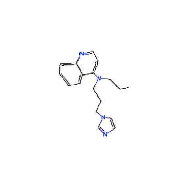 CCCN(CCCn1ccnc1)c1ccnc2ccccc12